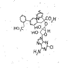 Nc1nc(Cl)nc2c1ncn2[C@@H]1O[C@@H]2C(O[C@@](Cc3ccc(-c4ccccc4CC(=O)O)cc3)(C(=O)O)c3cscn3)[C@]2(O)[C@H]1O